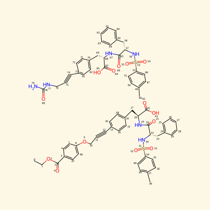 CCOC(=O)c1ccc(OCC#Cc2ccc(C[C@H](NC(=O)[C@H](Cc3ccccc3)NS(=O)(=O)c3ccc(C)cc3)C(=O)O)cc2)cc1.Cc1ccc(S(=O)(=O)N[C@@H](Cc2ccccc2)C(=O)N[C@@H](Cc2ccc(C#CCNC(N)=O)cc2)C(=O)O)cc1